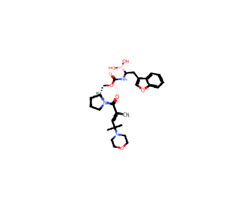 CC(C)(C=C(C#N)C(=O)N1CCC[C@@H]1COC(=O)NC(Cc1coc2ccccc12)B(O)O)N1CCOCC1